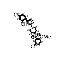 COc1ccc(Cl)cc1S(=O)(=O)C1CCN(c2nc(-c3ccc(Cl)cc3Cl)cs2)CC1